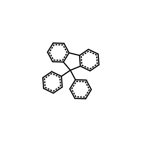 [c]1ccccc1C1(c2[c]cccc2)c2ccccc2-c2ccccc21